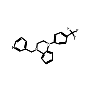 FC(F)(F)c1ccc(N2CCN(Cc3cccnc3)c3ccccc32)cc1